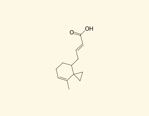 CC1=CCCC(C/C=C/C(=O)O)C12CC2